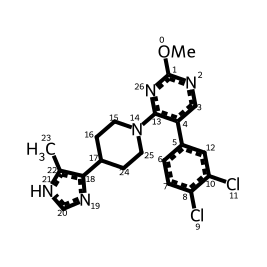 COc1ncc(-c2ccc(Cl)c(Cl)c2)c(N2CCC(c3nc[nH]c3C)CC2)n1